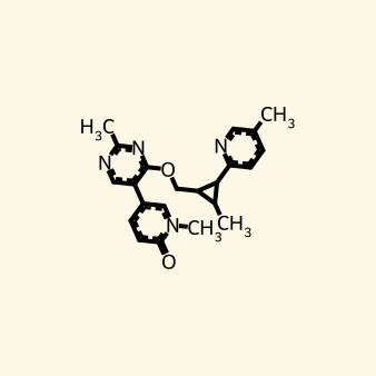 Cc1ccc(C2C(C)C2COc2nc(C)ncc2-c2ccc(=O)n(C)c2)nc1